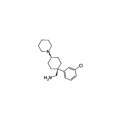 NC[C@]1(c2cccc(Cl)c2)CC[C@H](N2CCCCC2)CC1